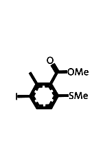 COC(=O)c1c(SC)ccc(I)c1C